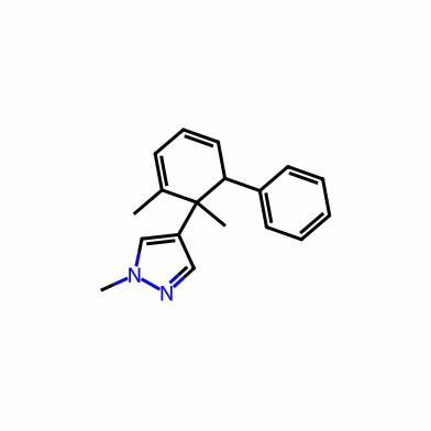 CC1=CC=CC(c2ccccc2)C1(C)c1cnn(C)c1